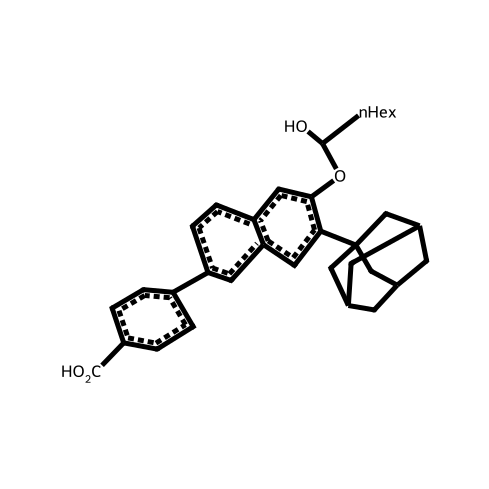 CCCCCCC(O)Oc1cc2ccc(-c3ccc(C(=O)O)cc3)cc2cc1C12CC3CC(CC(C3)C1)C2